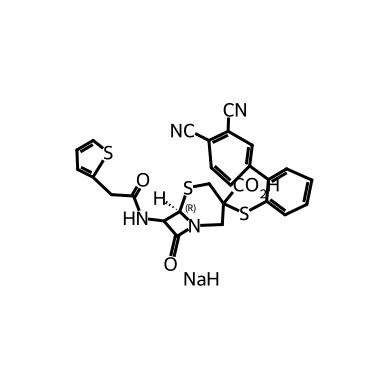 N#Cc1ccc(-c2ccccc2SC2(C(=O)O)CS[C@@H]3C(NC(=O)Cc4cccs4)C(=O)N3C2)cc1C#N.[NaH]